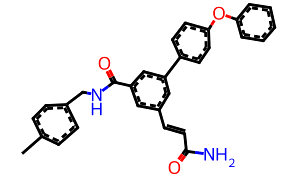 Cc1ccc(CNC(=O)c2cc(/C=C/C(N)=O)cc(-c3ccc(Oc4ccccc4)cc3)c2)cc1